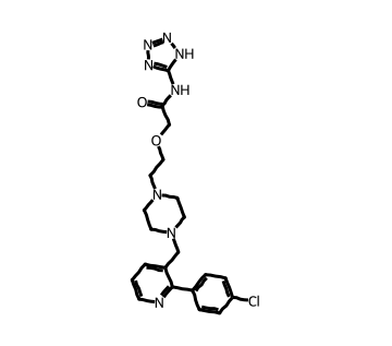 O=C(COCCN1CCN(Cc2cccnc2-c2ccc(Cl)cc2)CC1)Nc1nnn[nH]1